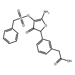 NC1=C(OS(=O)(=O)Cc2ccccc2)C(=O)C(c2cccc(CC(=O)O)c2)O1